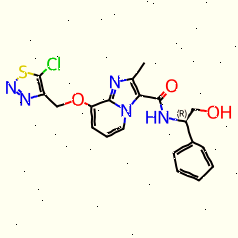 Cc1nc2c(OCc3nnsc3Cl)cccn2c1C(=O)N[C@@H](CO)c1ccccc1